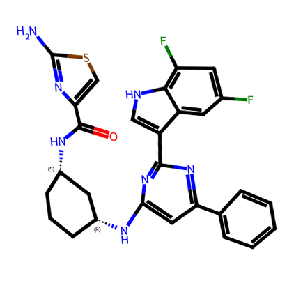 Nc1nc(C(=O)N[C@H]2CCC[C@@H](Nc3cc(-c4ccccc4)nc(-c4c[nH]c5c(F)cc(F)cc45)n3)C2)cs1